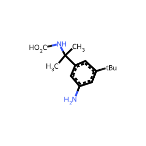 CC(C)(C)c1cc(N)cc(C(C)(C)NC(=O)O)c1